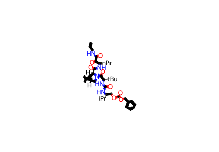 C=CCNC(=O)C(=O)C(CCC)NC(=O)[C@@H]1[C@@H]2[C@H](CN1C(=O)[C@@H](NC(=O)N[C@H](COC(=O)OCc1ccccc1)C(C)C)C(C)(C)C)C2(C)C